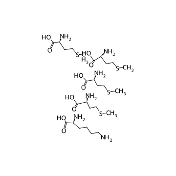 CSCC[C@H](N)C(=O)O.CSCC[C@H](N)C(=O)O.CSCC[C@H](N)C(=O)O.CSCC[C@H](N)C(=O)O.NCCCC[C@H](N)C(=O)O